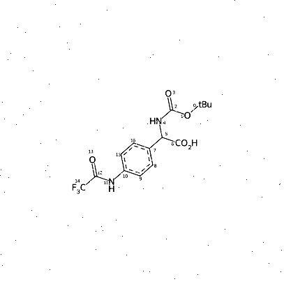 CC(C)(C)OC(=O)NC(C(=O)O)c1ccc(NC(=O)C(F)(F)F)cc1